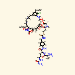 COc1cc2cc(c1Cl)N(C)C(=O)C[C@H](OC(=O)[C@H](C)N(C)C(=O)CCSC(=S)NCc1ccc(NC(=O)[C@H](CCCNC(N)=O)NC(=O)[C@@H](N)C(C)C)cc1)[C@]1(C)O[C@H]1[C@H](C)[C@@H]1C[C@@](O)(NC(=O)O1)[C@H](OC)/C=C/C=C(\C)C2